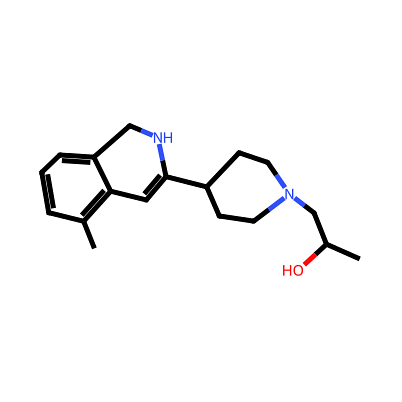 Cc1cccc2c1C=C(C1CCN(CC(C)O)CC1)NC2